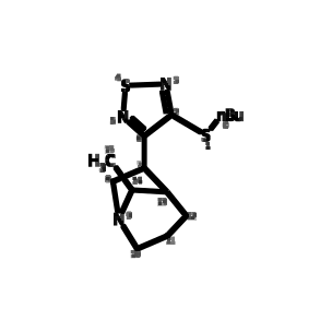 CCCCSc1nsnc1C1CN2CCCC1C2C